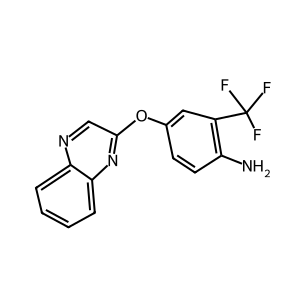 Nc1ccc(Oc2cnc3ccccc3n2)cc1C(F)(F)F